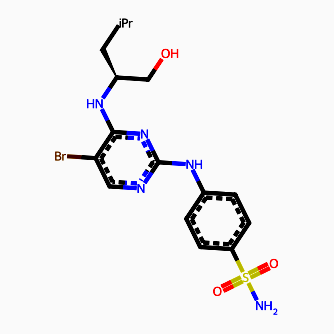 CC(C)C[C@@H](CO)Nc1nc(Nc2ccc(S(N)(=O)=O)cc2)ncc1Br